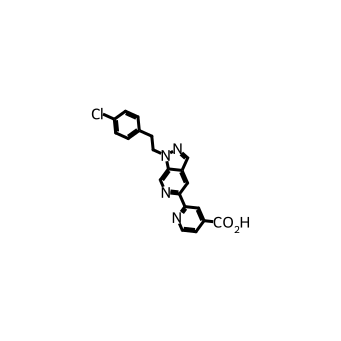 O=C(O)c1ccnc(-c2cc3cnn(CCc4ccc(Cl)cc4)c3cn2)c1